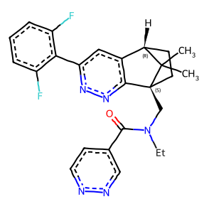 CCN(C[C@@]12CC[C@@H](c3cc(-c4c(F)cccc4F)nnc31)C2(C)C)C(=O)c1ccnnc1